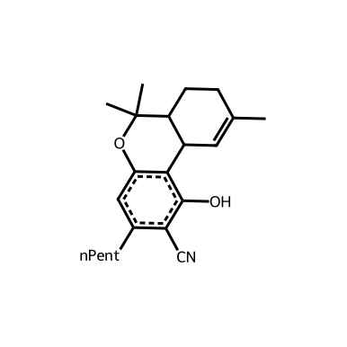 CCCCCc1cc2c(c(O)c1C#N)C1C=C(C)CCC1C(C)(C)O2